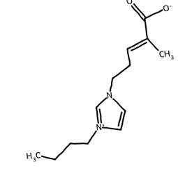 CCCC[n+]1ccn(CC/C=C(\C)C(=O)[O-])c1